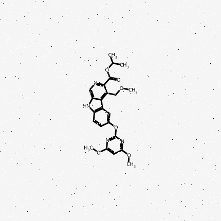 COCc1c(C(=O)OC(C)C)ncc2[nH]c3ccc(Oc4nc(OC)cc(OC)n4)cc3c12